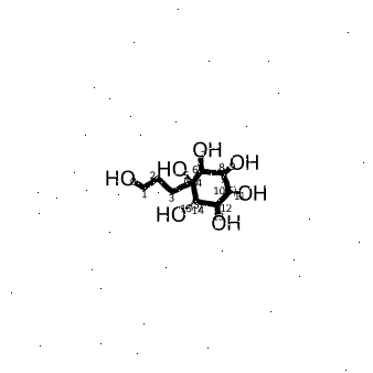 OCCC[C@@]1(O)C(O)C(O)[C@H](O)C(O)[C@@H]1O